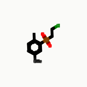 COc1[c]cc(C)c(S(=O)(=O)CCCl)c1